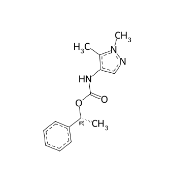 Cc1c(NC(=O)O[C@H](C)c2ccccc2)cnn1C